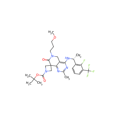 COCCCN1Cc2c(N[C@H](C)c3cccc(C(F)(F)F)c3F)nc(C)nc2C2(CN(C(=O)OC(C)(C)C)C2)C1=O